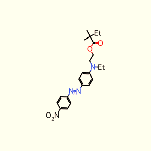 CCN(CCOC(=O)C(C)(C)CC)c1ccc(/N=N/c2ccc([N+](=O)[O-])cc2)cc1